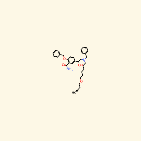 C#CCCOCCCCCCN(Cc1ccccc1)C[C@H](O)c1ccc(OCc2ccccc2)c(C(N)=O)c1